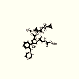 C=C[C@@H]1C[C@]1(NC(=O)[C@@H]1C[C@@](O)(C2C=CC=CC2CN2CCOCC2)CN1C(=O)CNC(=O)OC(C)(C)C)C(=O)NS(=O)(=O)C1CC1